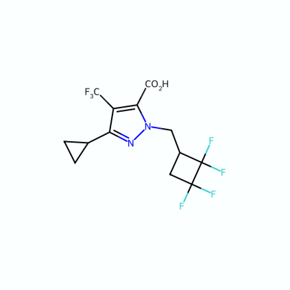 O=C(O)c1c(C(F)(F)F)c(C2CC2)nn1CC1CC(F)(F)C1(F)F